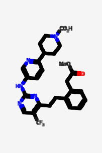 COC(=O)Cc1ccccc1CCc1nc(Nc2ccc(C3CCN(C(=O)O)CC3)nc2)ncc1C(F)(F)F